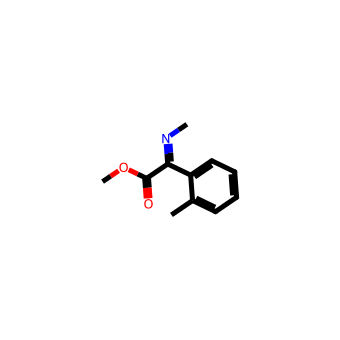 C/N=C(/C(=O)OC)c1ccccc1C